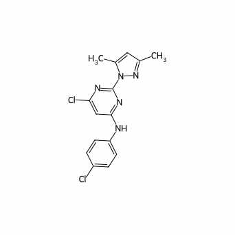 Cc1cc(C)n(-c2nc(Cl)cc(Nc3ccc(Cl)cc3)n2)n1